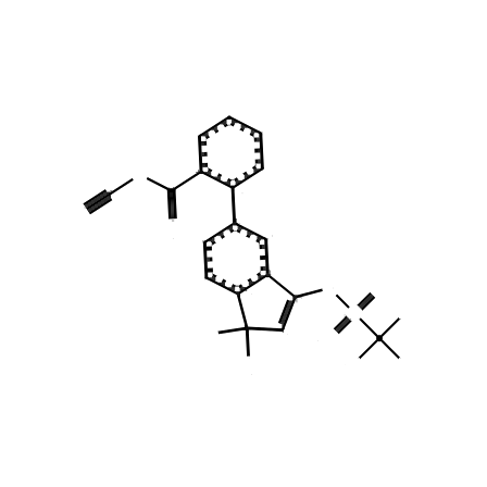 C#COC(=O)c1ccccc1-c1ccc2c(c1)C(OS(=O)(=O)C(F)(F)F)=CC2(C)C